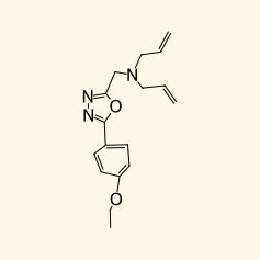 C=CCN(CC=C)Cc1nnc(-c2ccc(OCC)cc2)o1